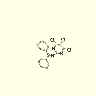 Clc1nc(N=S(c2ccccc2)c2ccccc2)nc(Cl)c1Cl